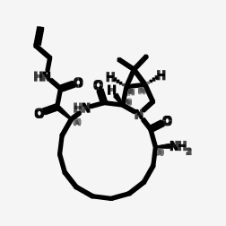 C=CCNC(=O)C(=O)[C@@H]1CCCCCCCCC[C@H](N)C(=O)N2C[C@H]3[C@@H]([C@H]2C(=O)N1)C3(C)C